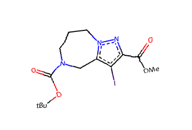 COC(=O)c1nn2c(c1I)CN(C(=O)OC(C)(C)C)CCC2